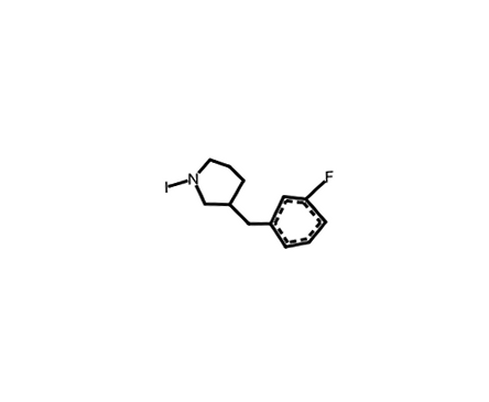 Fc1cccc(CC2CCCN(I)C2)c1